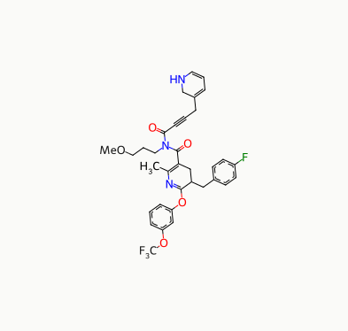 COCCCN(C(=O)C#CCC1=CC=CNC1)C(=O)C1=C(C)N=C(Oc2cccc(OC(F)(F)F)c2)C(Cc2ccc(F)cc2)C1